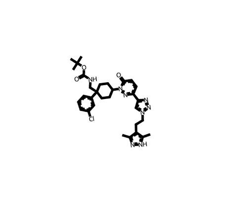 Cc1n[nH]c(C)c1CCn1cc(-c2ccc(=O)n(C3CCC(CNC(=O)OC(C)(C)C)(c4cccc(Cl)c4)CC3)n2)nn1